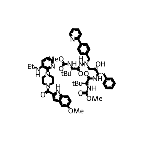 CCNc1cccnc1N1CCN(C(=O)c2cc3cc(OC)ccc3[nH]2)CC1.COC(=O)N[C@H](C(=O)N[C@@H](Cc1ccccc1)[C@@H](O)CN(Cc1ccc(-c2ccccn2)cc1)NC(=O)[C@@H](NC(=O)OC)C(C)(C)C)C(C)(C)C